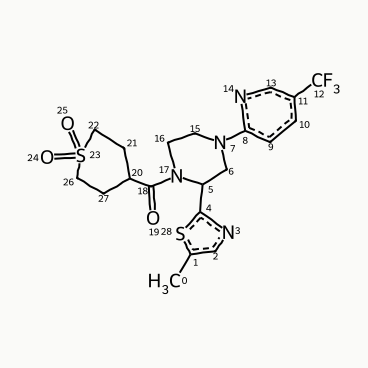 Cc1cnc(C2CN(c3ccc(C(F)(F)F)cn3)CCN2C(=O)C2CCS(=O)(=O)CC2)s1